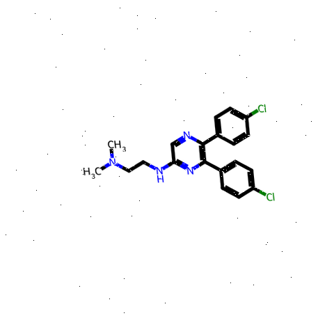 CN(C)CCNc1cnc(-c2ccc(Cl)cc2)c(-c2ccc(Cl)cc2)n1